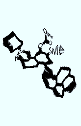 COC(=O)Oc1c(SC)cc(-c2ccc3ccc4cccc5ccc2c3c45)c2c1-c1cn(-c3ccccc3)nc1CC2